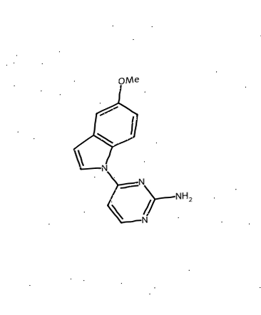 COc1ccc2c(ccn2-c2ccnc(N)n2)c1